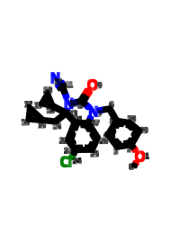 COc1ccc(CN2C(=O)N(C#N)C(CC3CC3)(C3CC3)c3cc(Cl)ccc32)cc1